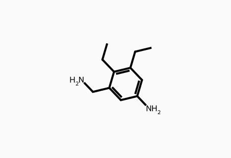 CCc1cc(N)cc(CN)c1CC